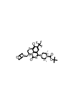 C[C@@H]1CN(c2nc(=O)n3c4c(c(Cl)c(C(F)(F)F)cc24)SC[C@@H]3CN2CC3OCC32)C[C@H](C)N1C(=O)OC(C)(C)C